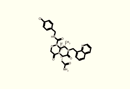 C[C@H]1[C@@H]2N(C(=O)NCc3ccc(Cl)cc3)OCC(=O)N2[C@@H](CC(N)=O)C(=O)N1Cc1cccc2cccnc12